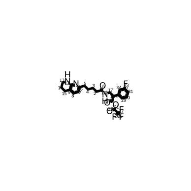 O=C(CCCCc1ccc2c(n1)NCCC2)NCC(C(=O)OC(=O)C(F)(F)F)c1cccc(F)c1